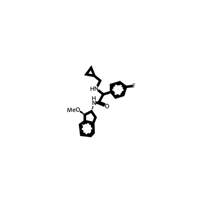 CO[C@@H]1c2ccccc2C[C@H]1NC(=O)C(NCC1CC1)c1ccc(F)cc1